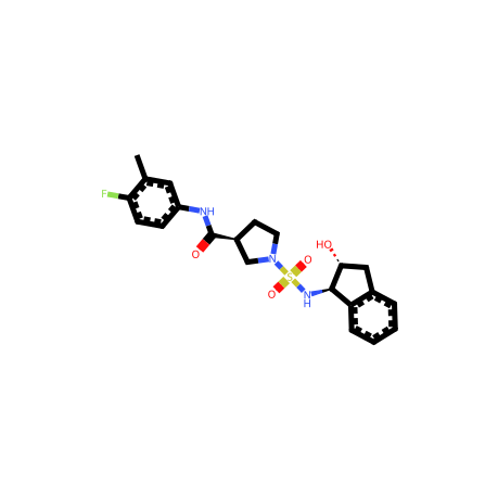 Cc1cc(NC(=O)[C@H]2CCN(S(=O)(=O)N[C@@H]3c4ccccc4C[C@H]3O)C2)ccc1F